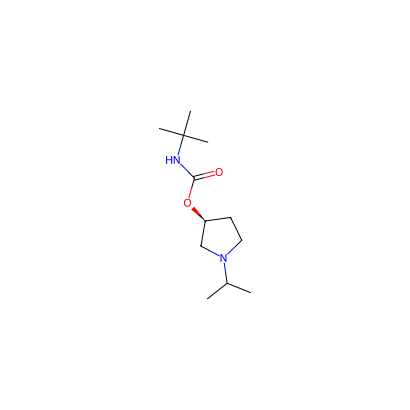 CC(C)N1CC[C@H](OC(=O)NC(C)(C)C)C1